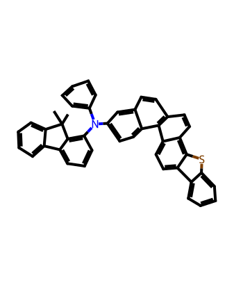 CC1(C)c2ccccc2-c2cccc(N(c3ccccc3)c3ccc4c(ccc5ccc6c(ccc7c8ccccc8sc76)c54)c3)c21